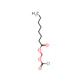 CCCCCCCC(=O)OCOC(=O)Cl